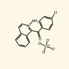 N[n+]1ccc2ccccc2c1C(=O)c1ccc(Cl)cc1.[O-][Cl+3]([O-])([O-])[O-]